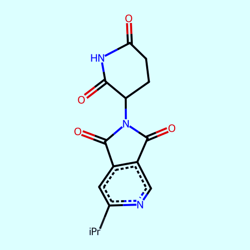 CC(C)c1cc2c(cn1)C(=O)N(C1CCC(=O)NC1=O)C2=O